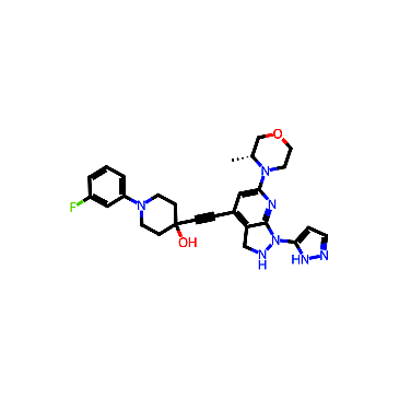 C[C@@H]1COCCN1c1cc(C#CC2(O)CCN(c3cccc(F)c3)CC2)c2c(n1)N(c1ccn[nH]1)NC2